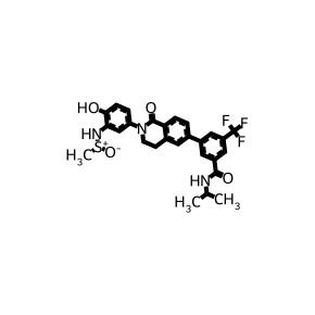 CC(C)NC(=O)c1cc(-c2ccc3c(c2)CCN(c2ccc(O)c(N[S+](C)[O-])c2)C3=O)cc(C(F)(F)F)c1